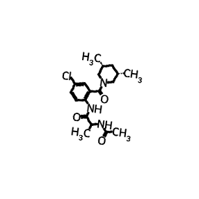 CC(=O)NC(C)C(=O)Nc1ccc(Cl)cc1C(=O)N1C[C@H](C)C[C@H](C)C1